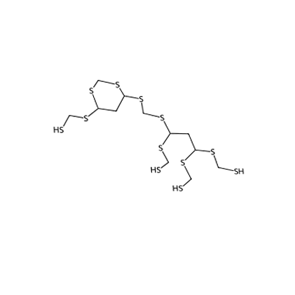 SCSC(CC(SCS)SCSC1CC(SCS)SCS1)SCS